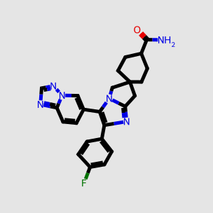 NC(=O)C1CCC2(CC1)Cc1nc(-c3ccc(F)cc3)c(-c3ccc4ncnn4c3)n1C2